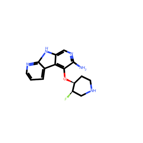 Nc1ncc2[nH]c3ncccc3c2c1O[C@H]1CCNC[C@H]1F